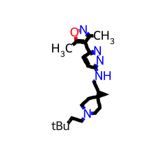 Cc1noc(C)c1-c1ccc(NCC2CC23CCN(CCC(C)(C)C)CC3)nn1